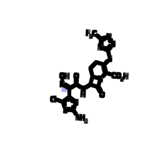 Nc1nc(/C(=N/O)C(=O)NC2C(=O)N3C(C(=O)O)=C(Sc4nc(C(F)(F)F)ns4)CCC23)c(Cl)s1